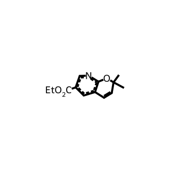 CCOC(=O)c1cnc2c(c1)C=CC(C)(C)O2